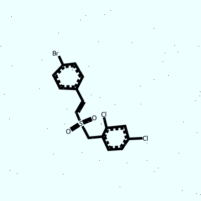 O=S(=O)(C=Cc1ccc(Br)cc1)Cc1ccc(Cl)cc1Cl